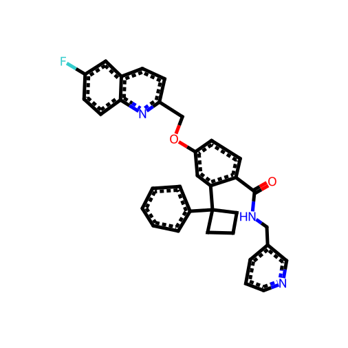 O=C(NCc1cccnc1)c1ccc(OCc2ccc3cc(F)ccc3n2)cc1C1(c2ccccc2)CCC1